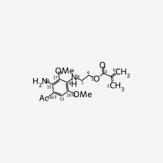 C=C(C)C(=O)OCCNc1c(OC)cc(C(C)=O)c(N)c1OC